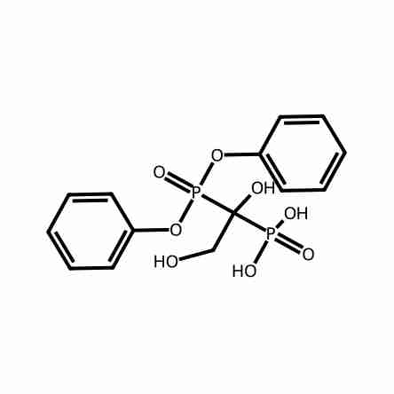 O=P(O)(O)C(O)(CO)P(=O)(Oc1ccccc1)Oc1ccccc1